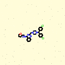 Clc1ccc(C(c2ccc(Cl)cc2)N2CCN(Cc3nc(NCC4CCCO4)c4ccccc4n3)CC2)cc1